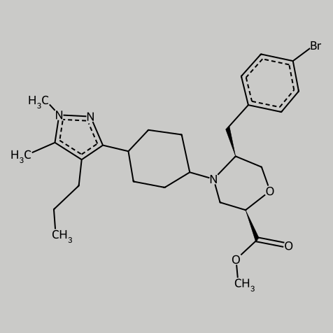 CCCc1c(C2CCC(N3C[C@H](C(=O)OC)OC[C@@H]3Cc3ccc(Br)cc3)CC2)nn(C)c1C